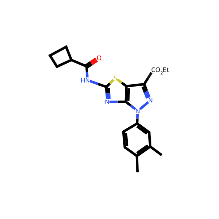 CCOC(=O)c1nn(-c2ccc(C)c(C)c2)c2nc(NC(=O)C3CCC3)sc12